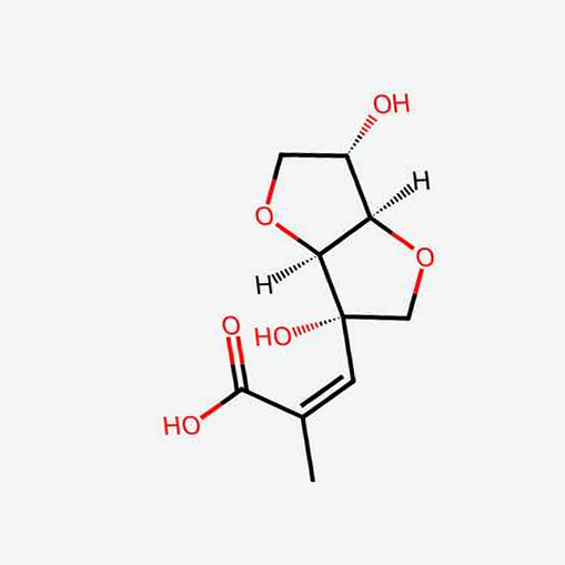 CC(=C[C@]1(O)CO[C@@H]2[C@@H](O)CO[C@@H]21)C(=O)O